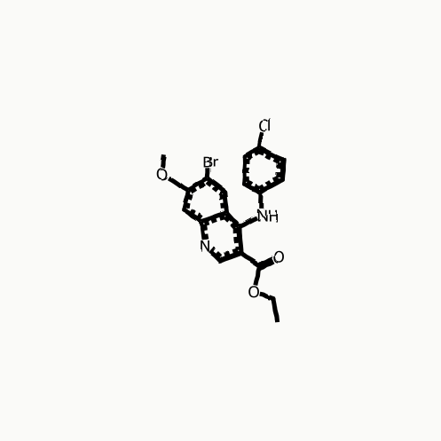 CCOC(=O)c1cnc2cc(OC)c(Br)cc2c1Nc1ccc(Cl)cc1